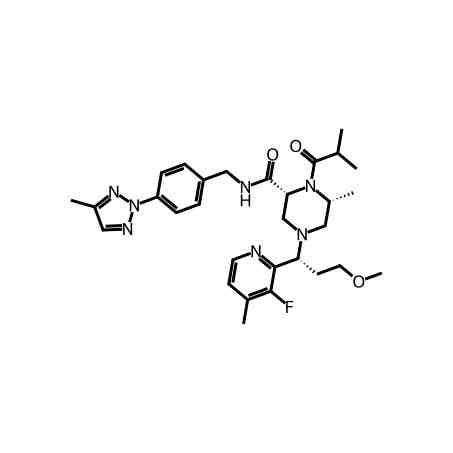 COCC[C@H](c1nccc(C)c1F)N1C[C@@H](C)N(C(=O)C(C)C)[C@@H](C(=O)NCc2ccc(-n3ncc(C)n3)cc2)C1